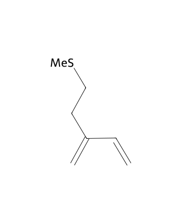 C=CC(=C)CCSC